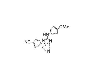 COc1ccc(NC2=N[N+]3(c4ccc(C#N)nc4)C=CN=CC3=N2)cc1